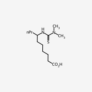 CCCC(CCCCCC(=O)O)NC(=S)N(C)C